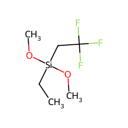 CC[Si](CC(F)(F)F)(OC)OC